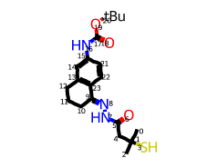 CC(C)(S)CC(=O)N/N=C1\CCCc2cc(NC(=O)OC(C)(C)C)ccc21